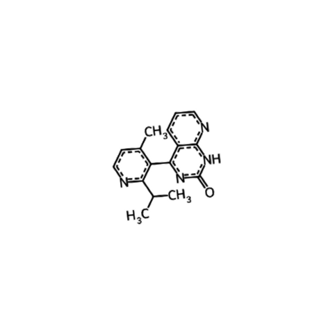 Cc1ccnc(C(C)C)c1-c1nc(=O)[nH]c2ncccc12